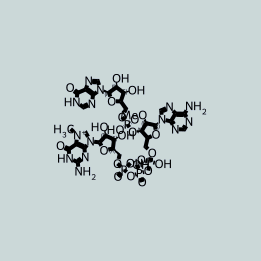 CO[C@@H]1[C@H](OP(=O)(O)OCC2O[C@@H](n3cnc4c(=O)[nH]cnc43)[C@H](O)[C@@H]2O)C(COP(=O)(O)OP(=O)(O)OP(=O)(O)OC[C@H]2OC(n3c[n+](C)c4c(=O)[nH]c(N)nc43)[C@H](O)[C@@H]2O)O[C@H]1n1cnc2c(N)ncnc21